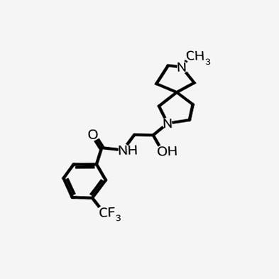 CN1CCC2(CCN(C(O)CNC(=O)c3cccc(C(F)(F)F)c3)C2)C1